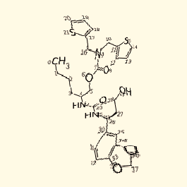 CCCCC(COC(=O)N(Cc1cccs1)Cc1cccs1)NC(=O)N[C@@H](CCO)c1ccc2c(c1)OCO2